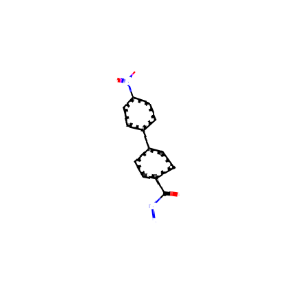 NNC(=O)c1ccc(-c2ccc([N+](=O)[O-])cc2)cc1